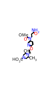 COC(=O)N(CCC(N)=O)c1ccc(OCCN2C(C)CN(C(=O)O)CC2C)nc1